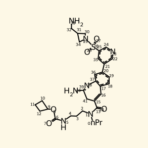 CCCN(CCCNC(=O)OC1CCC1)C(=O)C1=Cc2ccc(-c3cncc(S(=O)(=O)N4CC(CN)C4)c3)cc2N=C(N)C1